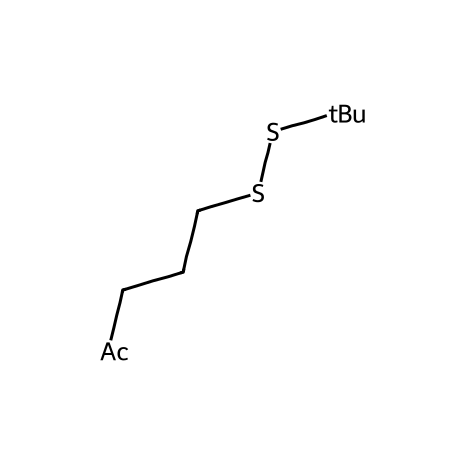 CC(=O)CCCSSC(C)(C)C